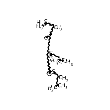 CC(C)CCC[C@H](C)CCSCC(C=O)CCCCCCCCC(CCCCCCCCCC(=O)SCC[C@@H](C)CCCC(C)C)OC(=O)CCCN(C)C